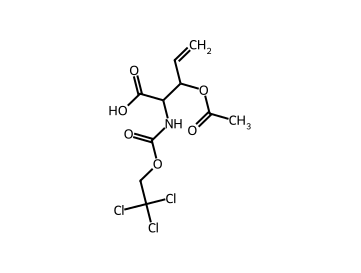 C=CC(OC(C)=O)C(NC(=O)OCC(Cl)(Cl)Cl)C(=O)O